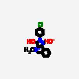 C[n+]1cc2ccccc2c2nn(-c3ccc(Cl)cc3)c(O)c21.[OH-]